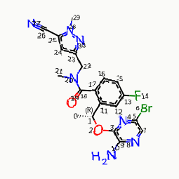 C[C@@H](Oc1nc(Br)cnc1N)c1cc(F)ccc1C(=O)N(C)Cc1cc(C#N)n(C)n1